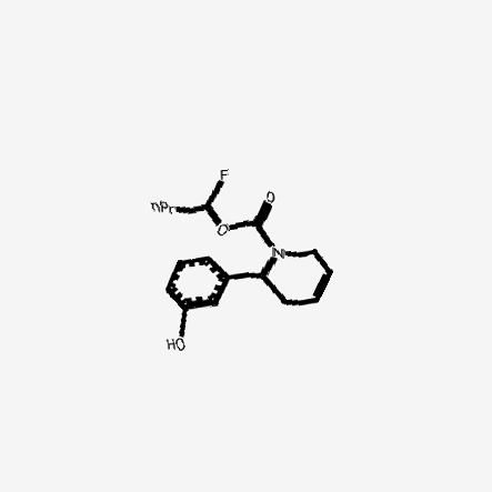 CCCC(F)OC(=O)N1CC=CCC1c1cccc(O)c1